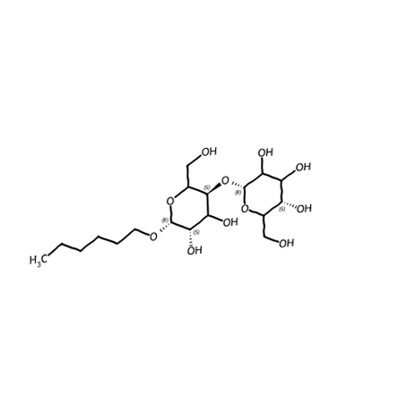 CCCCCCO[C@@H]1OC(CO)[C@@H](O[C@H]2OC(CO)[C@@H](O)C(O)C2O)C(O)[C@@H]1O